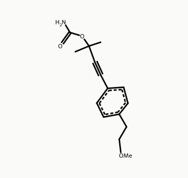 COCCc1ccc(C#CC(C)(C)OC(N)=O)cc1